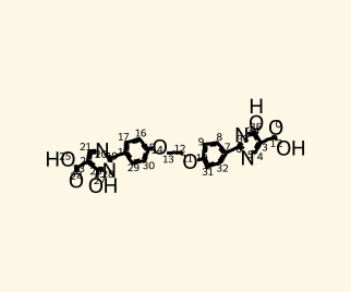 O=C(O)c1cnc(-c2ccc(OCCOc3ccc(-c4ncc(C(=O)O)c(O)n4)cc3)cc2)nc1O